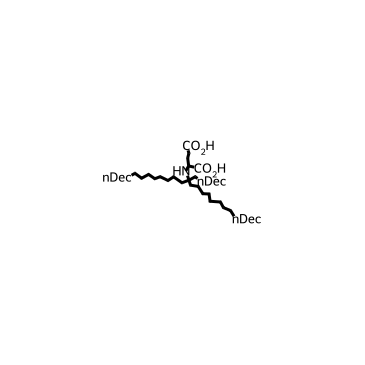 CCCCCCCCCCCCCCCCCCC(CCCCCCCCCCC)(CCCCCCCCCCCCCCCCCC)NC(CCC(=O)O)C(=O)O